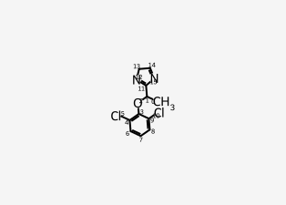 CC(Oc1c(Cl)cccc1Cl)C1=NCC=N1